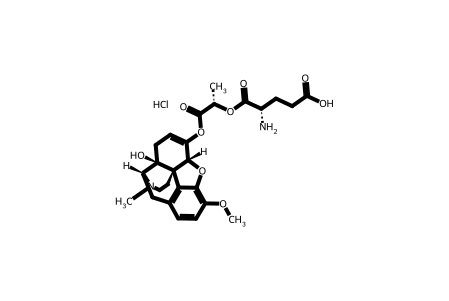 COc1ccc2c3c1O[C@H]1C(OC(=O)[C@H](C)OC(=O)[C@@H](N)CCC(=O)O)=CC[C@@]4(O)[C@@H](C2)N(C)CC[C@]314.Cl